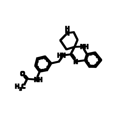 CC(=O)Nc1cccc(CNC2=Nc3ccccc3NC23CCNCC3)c1